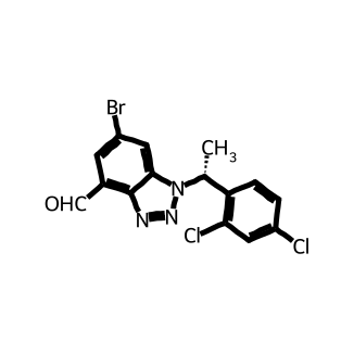 C[C@H](c1ccc(Cl)cc1Cl)n1nnc2c(C=O)cc(Br)cc21